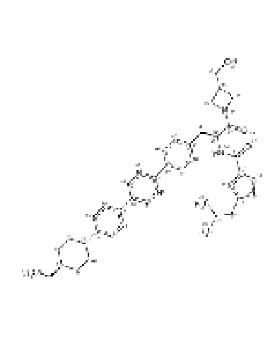 CC[C@H]1CC[C@H](c2ccc(-c3cnc(-c4ccc(C[C@H](NC(=O)c5ccc(CC(C)C)s5)C(=O)N5CC(CO)C5)cc4)nc3)cc2)CC1